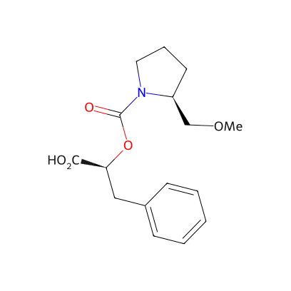 COC[C@@H]1CCCN1C(=O)O[C@@H](Cc1ccccc1)C(=O)O